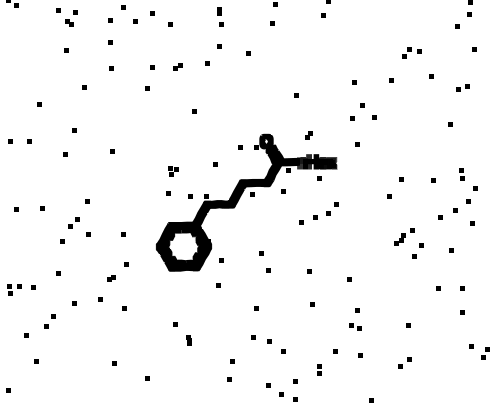 [CH2]CCCCCC(=O)CCCCc1ccccc1